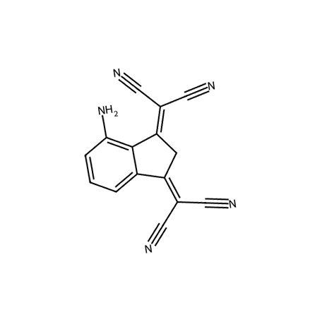 N#CC(C#N)=C1CC(=C(C#N)C#N)c2c(N)cccc21